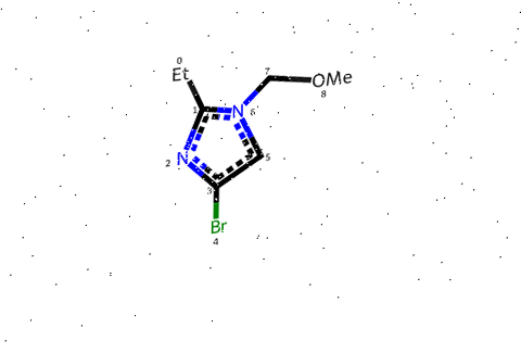 CCc1nc(Br)cn1COC